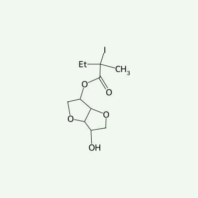 CCC(C)(I)C(=O)OC1COC2C(O)COC12